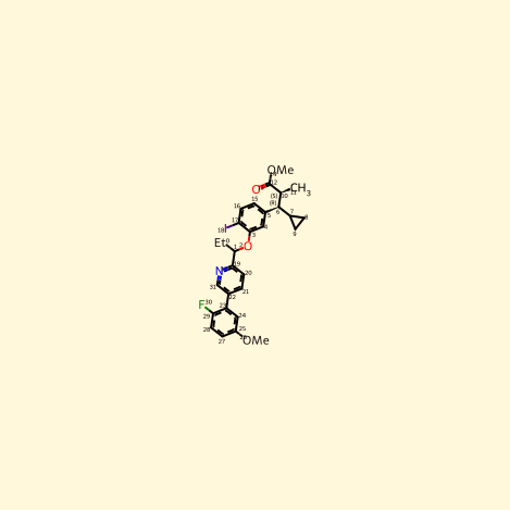 CCC(Oc1cc([C@H](C2CC2)[C@H](C)C(=O)OC)ccc1I)c1ccc(-c2cc(OC)ccc2F)cn1